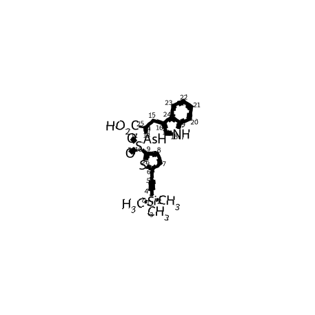 C[Si](C)(C)C#Cc1ccc(S(=O)(=O)[AsH][C@H](Cc2c[nH]c3ccccc23)C(=O)O)s1